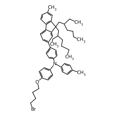 CCCCC(CC)CC1(CC(CC)CCCC)c2cc(C)ccc2-c2ccc(-c3ccc(N(c4ccc(C)cc4)c4ccc(OCCCCBr)cc4)cc3)cc21